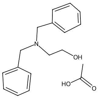 CC(=O)O.OCCN(Cc1ccccc1)Cc1ccccc1